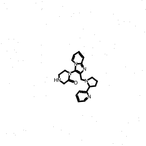 O=C1CNCCN1c1c(CN2CCCC2c2ccccn2)nc2ccccn12